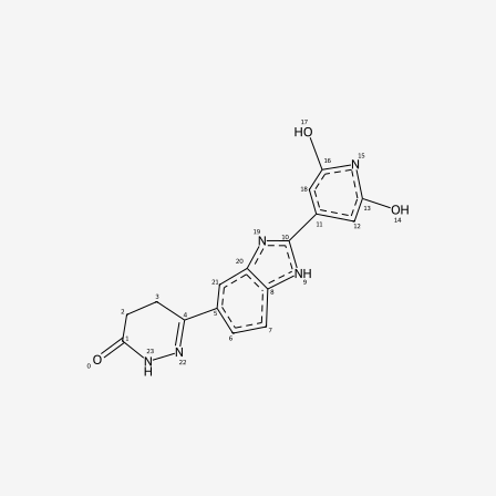 O=C1CCC(c2ccc3[nH]c(-c4cc(O)nc(O)c4)nc3c2)=NN1